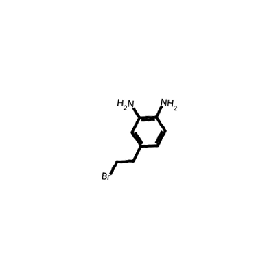 Nc1ccc(CCBr)cc1N